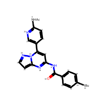 CC(=O)Nc1ccc(-c2cc(NC(=O)c3ccc(C(C)(C)C)cc3)nc3ccnn23)cn1